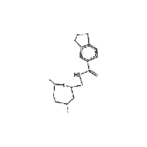 C=C(BCC1CC(C)CCC(C)C1)c1ccc2c(c1)CCC2